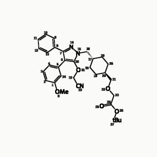 COc1cccc(-c2c(-c3ccccc3)nn(C[C@H]3CC[C@H](COCC(=O)OC(C)(C)C)CC3)c2OCC#N)c1